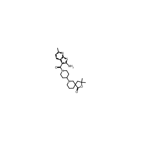 Cc1ccc2c(C(=O)N3CCC(N4CCCC5(C4)CC(C)(C)OC5=O)CC3)c(N)sc2n1